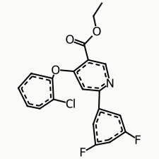 CCOC(=O)c1cnc(-c2cc(F)cc(F)c2)cc1Oc1ccccc1Cl